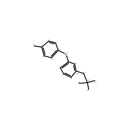 Cc1ccc(Oc2cccc(CC(C)(C)C)c2)cc1